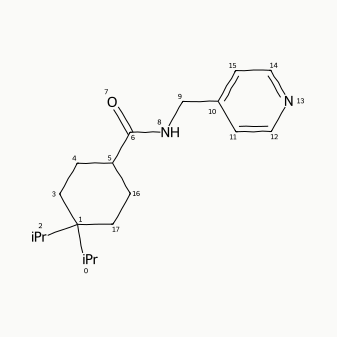 CC(C)C1(C(C)C)CCC(C(=O)NCc2ccncc2)CC1